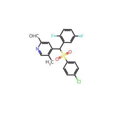 Cc1cnc(C=O)cc1C(c1cc(F)ccc1F)S(=O)(=O)c1ccc(Cl)cc1